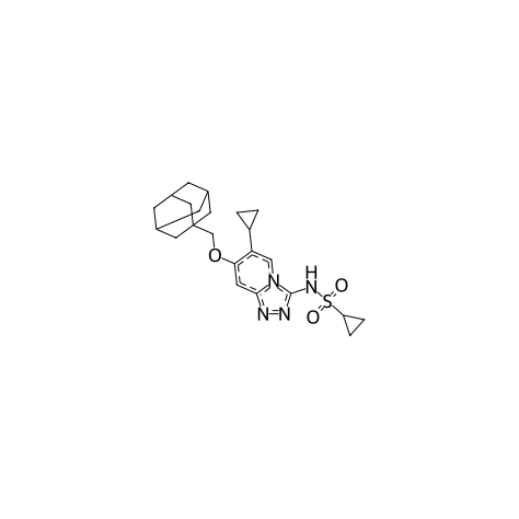 O=S(=O)(Nc1nnc2cc(OCC34CC5CC(CC(C5)C3)C4)c(C3CC3)cn12)C1CC1